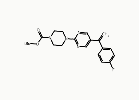 C=C(c1ccc(F)cc1)c1cnc(N2CCN(C(=O)OC(C)(C)C)CC2)nc1